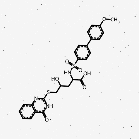 COc1ccc(-c2ccc(S(=O)(=O)NC(CC(O)CSc3nc4ccccc4c(=O)[nH]3)C(=O)O)cc2)cc1